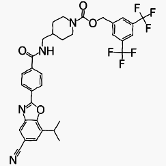 CC(C)c1cc(C#N)cc2nc(-c3ccc(C(=O)NCC4CCN(C(=O)OCc5cc(C(F)(F)F)cc(C(F)(F)F)c5)CC4)cc3)oc12